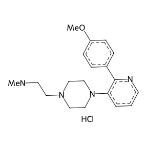 CNCCN1CCN(c2cccnc2-c2ccc(OC)cc2)CC1.Cl